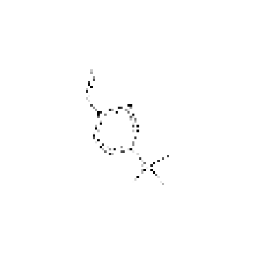 C=Cc1ccc([Si](C)(C)C)cc1